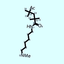 CNCCCCCCNC(=O)C(C)(C)CC(C)(C)C(C)=O